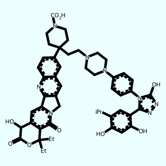 CCC1(CC)OC(=O)C(O)c2cc3n(c(=O)c21)Cc1cc2cc(C4(CCN5CCN(c6ccc(-n7c(O)nnc7-c7cc(C(C)C)c(O)cc7O)cc6)CC5)CCN(C(=O)O)CC4)ccc2nc1-3